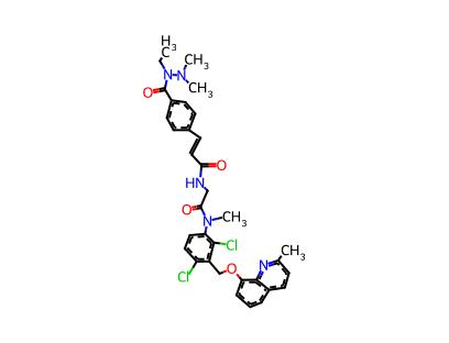 CCN(C(=O)c1ccc(C=CC(=O)NCC(=O)N(C)c2ccc(Cl)c(COc3cccc4ccc(C)nc34)c2Cl)cc1)N(C)C